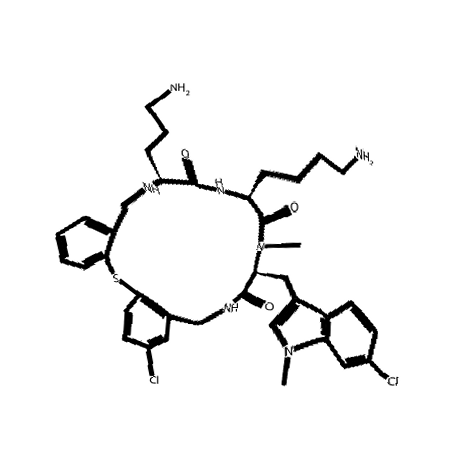 CN1C(=O)[C@H](CCCCN)NC(=O)[C@H](CCCN)NCc2ccccc2Sc2ccc(Cl)cc2CNC(=O)[C@@H]1Cc1cn(C)c2cc(Cl)ccc12